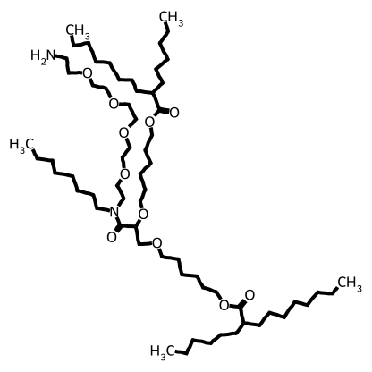 CCCCCCCCC(CCCCCC)C(=O)OCCCCCCOCC(OCCCCCCOC(=O)C(CCCCCC)CCCCCCCC)C(=O)N(CCCCCCCC)CCOCCOCCOCCOCCN